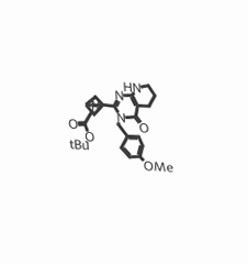 COc1ccc(Cn2c(C34CC(C3)N(C(=O)OC(C)(C)C)C4)nc3c(c2=O)CCCN3)cc1